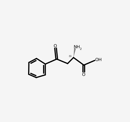 N[C@@H](CC(=O)c1ccccc1)C(=O)O